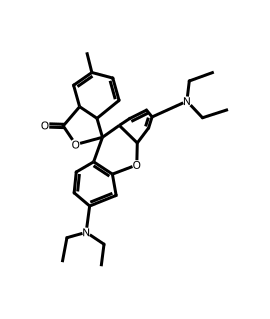 CCN(CC)C1=CC2Oc3cc(N(CC)CC)ccc3C3(OC(=O)C4C=C(C)C=CC43)C2C=C1